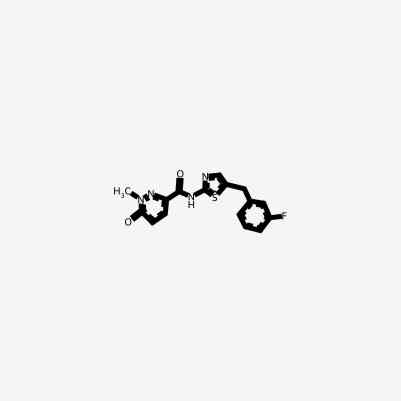 Cn1nc(C(=O)Nc2ncc(Cc3cccc(F)c3)s2)ccc1=O